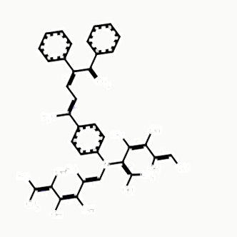 C=C(/C(=C\C=C(/C)c1ccc(N(/C=C(O)/C(O)=C(O)\C(O)=C(/C)O)C(=C(/C)O)/C(O)=C(O)\C(O)=C\O)cc1)c1ccccc1)c1ccccc1